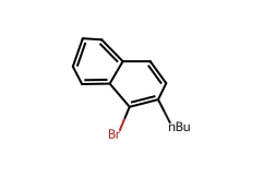 CCCCc1ccc2ccccc2c1Br